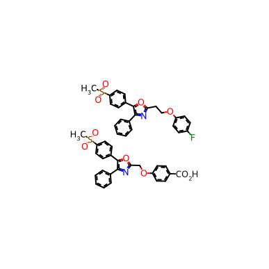 CS(=O)(=O)c1ccc(-c2oc(CCOc3ccc(F)cc3)nc2-c2ccccc2)cc1.CS(=O)(=O)c1ccc(-c2oc(COc3ccc(C(=O)O)cc3)nc2-c2ccccc2)cc1